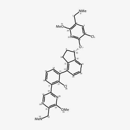 CNCc1cc(Cl)c(O[C@H]2CCc3c(-c4cccc(-c5cnc(CNC)c(OC)n5)c4Cl)cccc32)nc1OC